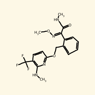 CNC(=O)/C(=N\OC)c1ccccc1COc1ccc(C(F)(F)F)c(NC)n1